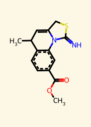 COC(=O)c1ccc2c(c1)N1C(=N)SCC1=CC2C